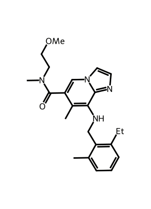 CCc1cccc(C)c1CNc1c(C)c(C(=O)N(C)CCOC)cn2ccnc12